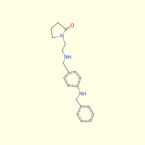 O=C1CCCN1CCNCc1ccc(NCc2ccccc2)cc1